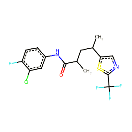 CC(CC(C)c1cnc(C(F)(F)F)s1)C(=O)Nc1ccc(F)c(Cl)c1